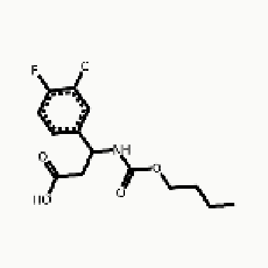 CCCCOC(=O)NC(CC(=O)O)c1ccc(F)c(Cl)c1